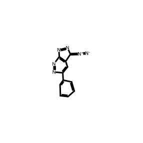 [N-]=[N+]=C1N=Nc2nnc(-c3ccccc3)cc21